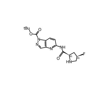 CC(C)(C)OC(=O)n1ncc2nc(NC(=O)[C@H]3C[C@@H](F)CN3)ccc21